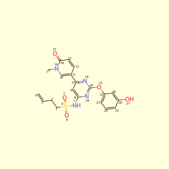 C=CCCS(=O)(=O)Nc1cc(-c2ccc(=O)n(C)c2)nc(Oc2cccc(O)c2)n1